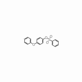 O=S(=O)(Oc1ccc(Oc2cc[c]cc2)cc1)c1ccccc1